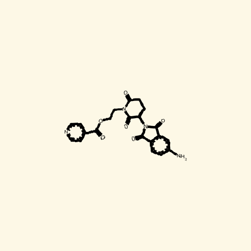 Nc1ccc2c(c1)C(=O)N(C1CCC(=O)N(CCOC(=O)c3ccncc3)C1=O)C2=O